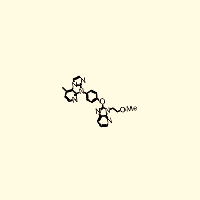 COCCn1c(Oc2ccc(-n3c4nccc(C)c4n4ccnc34)cc2)nc2cccnc21